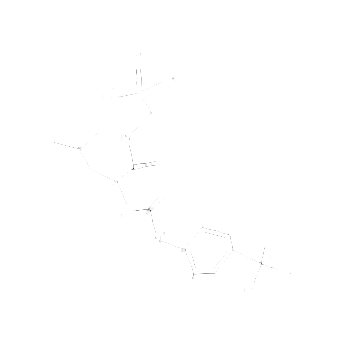 CC(C)CC(OC(=O)Nc1ccc(C(F)(F)F)cc1)C(=O)NCP(=O)(O)O